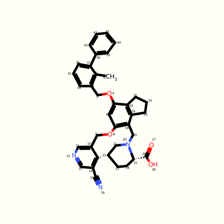 Cc1c(COc2cc(OCc3cncc(C#N)c3)c(CN3CCCC[C@H]3C(=O)O)c3c2CCC3)cccc1-c1ccccc1